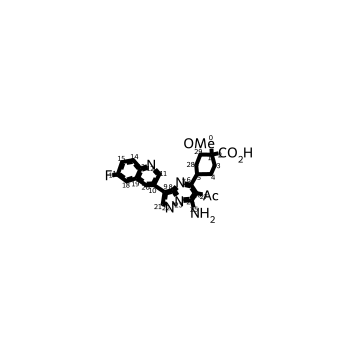 COC1(C(=O)O)CCC(c2nc3c(-c4cnc5ccc(F)cc5c4)cnn3c(N)c2C(C)=O)CC1